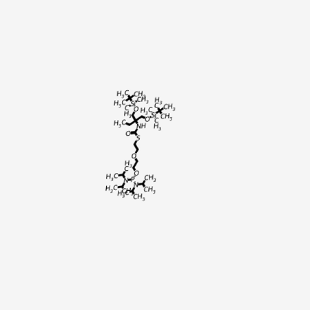 CCC(CO[Si](C)(C)C(C)(C)C)(CO[Si](C)(C)C(C)(C)C)NC(=O)SCCOCCOP(N(C(C)C)C(C)C)N(C(C)C)C(C)C